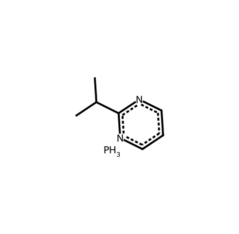 CC(C)c1ncccn1.P